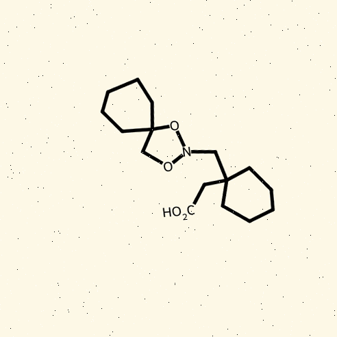 O=C(O)CC1(CN2OCC3(CCCCC3)O2)CCCCC1